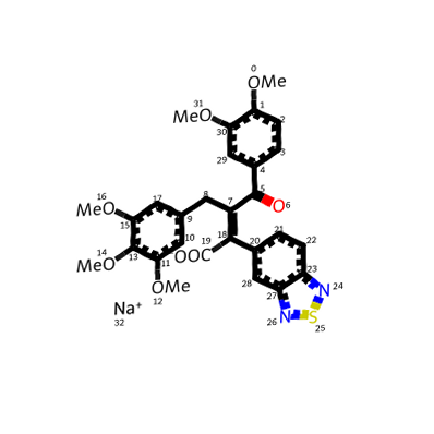 COc1ccc(C(=O)/C(Cc2cc(OC)c(OC)c(OC)c2)=C(/C(=O)[O-])c2ccc3nsnc3c2)cc1OC.[Na+]